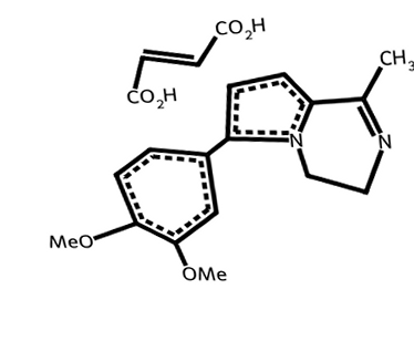 COc1ccc(-c2ccc3n2CCN=C3C)cc1OC.O=C(O)C=CC(=O)O